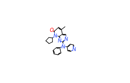 Cc1cc(=O)n(C2CCCC2)c2nc(N(c3ccccc3)c3ccncc3)ncc12